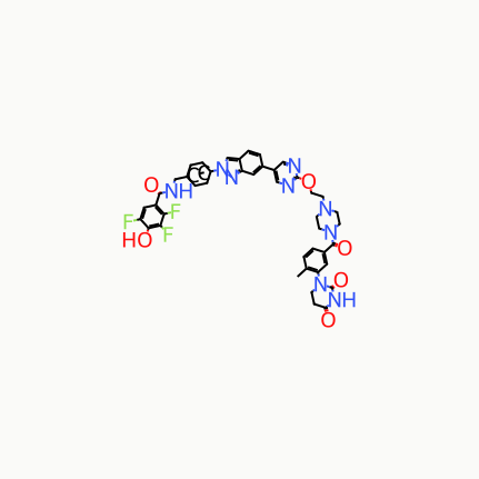 Cc1ccc(C(=O)N2CCN(CCOc3ncc(-c4ccc5cn(C67CCC(CNC(=O)c8cc(F)c(O)c(F)c8F)(CC6)CC7)nc5c4)cn3)CC2)cc1N1CCC(=O)NC1=O